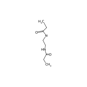 CCC(=O)[N]CCNC(=O)CC